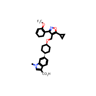 Cn1cc(C(=O)O)c2ccc([C@H]3CC[C@H](OCc4c(C5=C(OC(F)(F)F)C=CCC5)noc4C4CC4)CC3)cc21